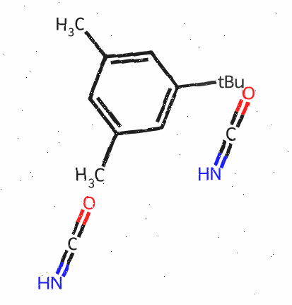 Cc1cc(C)cc(C(C)(C)C)c1.N=C=O.N=C=O